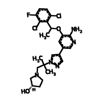 CC(Oc1cc(-c2cnn(C(C)(C)CN3CC[C@H](O)C3)c2)cnc1N)c1c(Cl)ccc(F)c1Cl